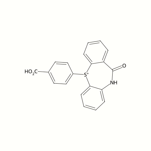 O=C(O)c1ccc([S+]2c3ccccc3NC(=O)c3ccccc32)cc1